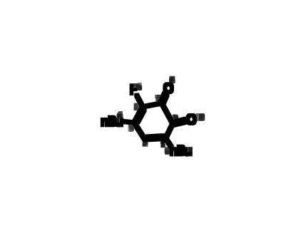 CCCCC1=CC(CCCC)=C(F)C(=O)C1=O